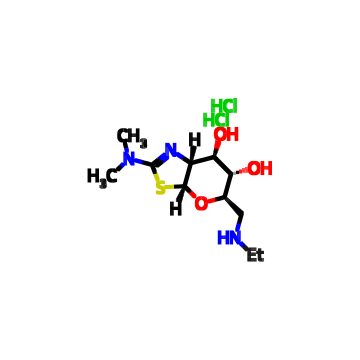 CCNC[C@H]1O[C@@H]2SC(N(C)C)=N[C@@H]2[C@@H](O)[C@@H]1O.Cl.Cl